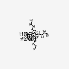 CCCCO[Si](OCCCC)(OCCCC)[O][Ti]([OH])([OH])[O]C